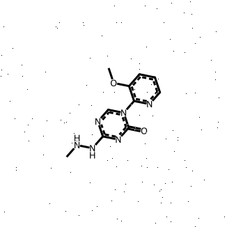 CNNc1ncn(-c2ncccc2OC)c(=O)n1